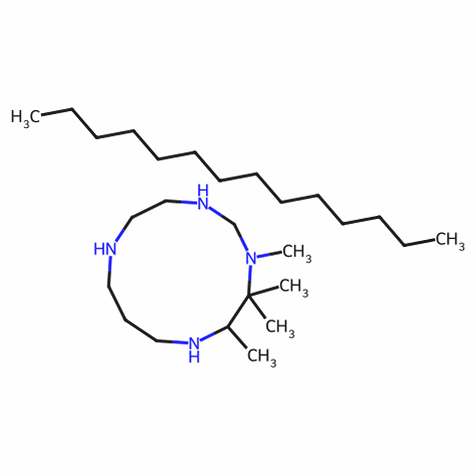 CC1NCCCNCCNCN(C)C1(C)C.CCCCCCCCCCCCCC